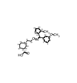 COc1cccc(C(=NOCCN2CCC[C@@H](C(=O)O)C2)c2sccc2C)c1